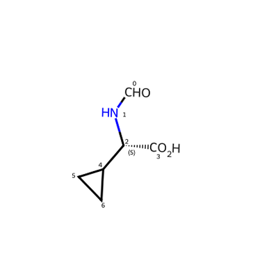 O=CN[C@H](C(=O)O)C1CC1